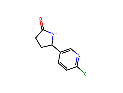 O=C1CCC(c2ccc(Cl)nc2)N1